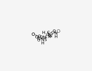 Cn1c(Cc2csc(NC(=O)C3CCCN3C(=O)OCc3ccccc3)n2)nnc1SCC(=O)NC1CCCCC1